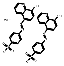 O=S(=O)([O-])c1ccc(N=Nc2ccc(O)c3ncccc23)cc1.O=S(=O)([O-])c1ccc(N=Nc2ccc(O)c3ncccc23)cc1.[Mn+2]